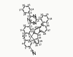 N#Cc1ccc2c(c1)C1(c3cc(-c4nc(-c5ccccc5)nc(-c5ccccc5)n4)ccc3S2)c2ccccc2-c2c1ccc1ccccc21